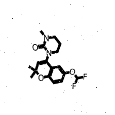 CN1CCCN(C2=CC(C)(C)Oc3ccc(OC(F)F)cc32)C1=O